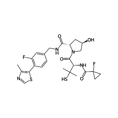 Cc1ncsc1-c1ccc(CNC(=O)[C@@H]2C[C@@H](O)CN2C(=O)C(NC(=O)C2(F)CC2)C(C)(C)S)cc1F